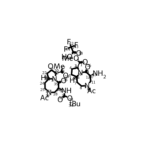 COC(=O)[C@@H]1CC[C@@H]2CCN(C(C)=O)C[C@H](N)C(=O)N21.COC(=O)[C@@H]1CC[C@@H]2CCN(C(C)=O)C[C@H](NC(=O)OC(C)(C)C)C(=O)N21.O=C(O)C(F)(F)F